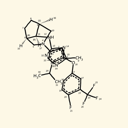 Cc1cc(N2C[C@H]3CC[C@@H](C2)[C@H]3Nc2nc(Oc3ccc(F)c(C(F)(F)F)c3)n(C(C)C)n2)sn1